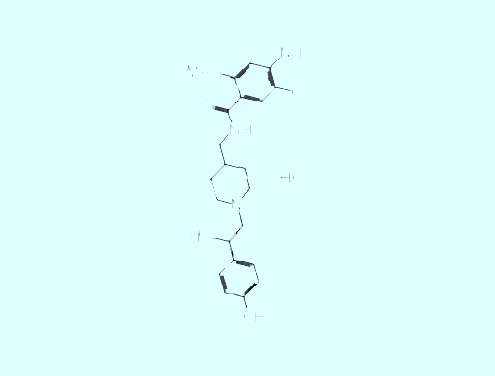 COc1cc(N)c(Cl)cc1C(=O)NCC1CCN(CC(O)c2ccc(C)cc2)CC1.Cl